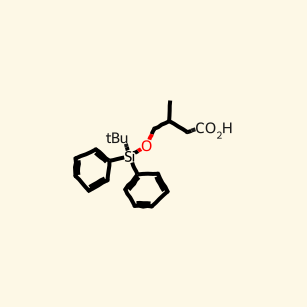 CC(CO[Si](c1ccccc1)(c1ccccc1)C(C)(C)C)CC(=O)O